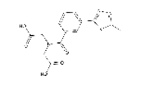 Cc1nnc(-c2cccc(C(=O)N(CC(=O)O)CC(=O)O)c2)s1